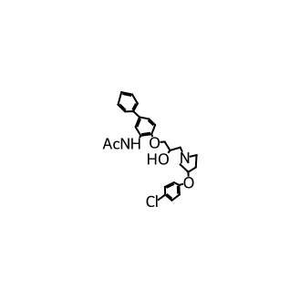 CC(=O)Nc1cc(-c2ccccc2)ccc1OCC(O)CN1CCC(Oc2ccc(Cl)cc2)C1